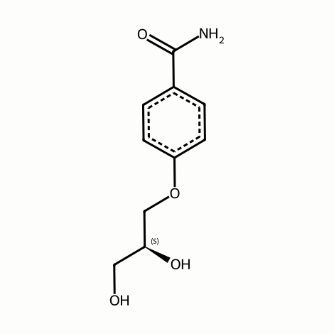 NC(=O)c1ccc(OC[C@@H](O)CO)cc1